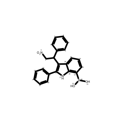 O=[N+]([O-])CC(c1ccccc1)c1c(-c2ccccc2)[nH]c2c(B(O)O)cccc12